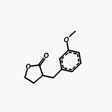 COc1cccc(CC2CCOC2=O)c1